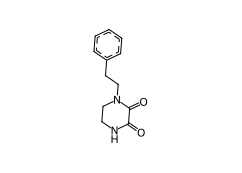 O=C1NCCN(CCc2ccccc2)C1=O